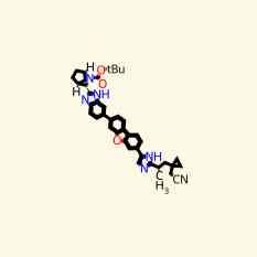 C[C@@H](CC1(CC#N)CC1)c1ncc(-c2ccc3c(c2)oc2cc(-c4ccc5nc([C@@H]6[C@H]7CC[C@H](C7)N6C(=O)OC(C)(C)C)[nH]c5c4)ccc23)[nH]1